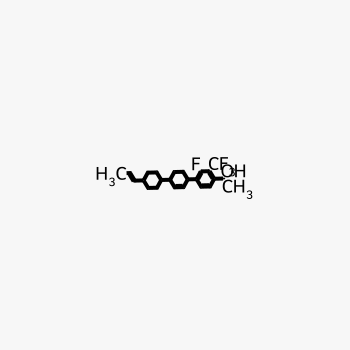 C/C=C/C1CCC(C2C=CC(c3ccc(C(C)O)c(C(F)(F)F)c3F)CC2)CC1